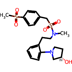 CN(CCc1ccccc1N1CC[C@H](O)C1)S(=O)(=O)Cc1ccc(S(C)(=O)=O)cc1